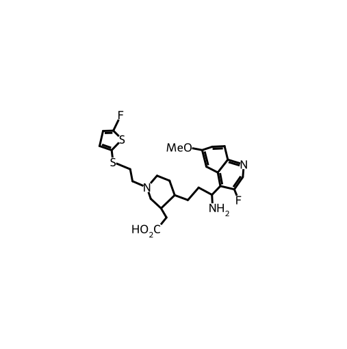 COc1ccc2ncc(F)c(C(N)CCC3CCN(CCSc4ccc(F)s4)CC3CC(=O)O)c2c1